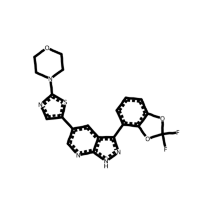 FC1(F)Oc2cccc(-c3n[nH]c4ncc(-c5cnc(N6CCOCC6)s5)cc34)c2O1